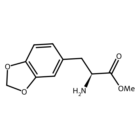 COC(=O)[C@@H](N)Cc1ccc2c(c1)OCO2